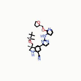 CC(C)(C)[Si](C)(C)OC[C@@]1(C)CNc2c(C#N)cc(-c3ccnc(Nc4cccnc4OC[C@H]4CCCO4)n3)cc21